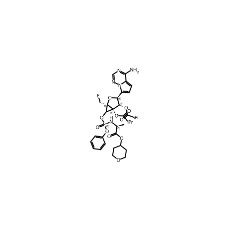 CC(C)C(=O)O[C@H]1[C@H](c2ccc3c(N)ncnn23)O[C@]2(CF)C(O[P@](=O)(N[C@@H](C)C(=O)OC3CCOCC3)Oc3ccccc3)[C@]12OC(=O)C(C)C